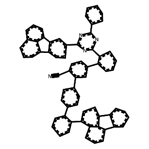 N#Cc1ccc(-c2ccccc2-c2nc(-c3ccccc3)nc(-c3ccc4c(c3)-c3cccc5cccc-4c35)n2)cc1-c1ccc(-c2ccccc2-c2ccc3c4c(cccc24)-c2ccccc2-3)cc1